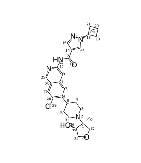 C[C@]1(N2CCC(c3cc4cc(NC(=O)c5cnn(C67CC(C6)C7)c5)ncc4cc3Cl)CC2)COC[C@H]1O